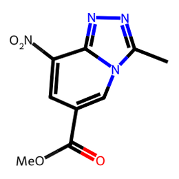 COC(=O)c1cc([N+](=O)[O-])c2nnc(C)n2c1